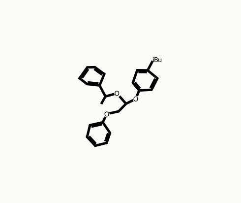 CCC(C)c1ccc(OC(COc2ccccc2)OC(C)c2ccccc2)cc1